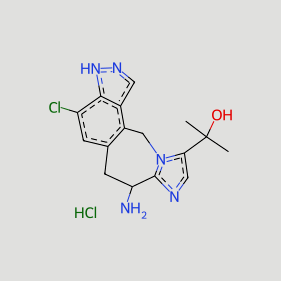 CC(C)(O)c1cnc2n1Cc1c(cc(Cl)c3[nH]ncc13)CC2N.Cl